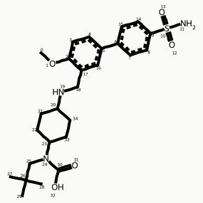 COc1ccc(-c2ccc(S(N)(=O)=O)cc2)cc1CNC1CCC(N(CC(C)(C)C)C(=O)O)CC1